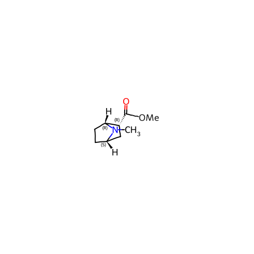 COC(=O)[C@@H]1C[C@@H]2CC[C@H]1N2C